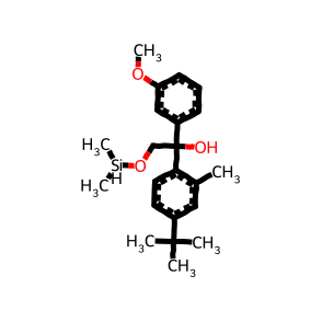 COc1cccc(C(O)(CO[SiH](C)C)c2ccc(C(C)(C)C)cc2C)c1